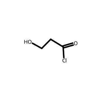 O=C(Cl)CCO